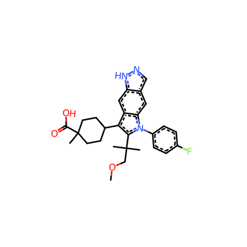 COCC(C)(C)c1c(C2CCC(C)(C(=O)O)CC2)c2cc3[nH]ncc3cc2n1-c1ccc(F)cc1